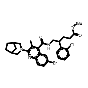 Cc1c(N2CC3CCC(C3)C2)nc2ccc(Br)cc2c1C(=O)NCC(CCC(=O)OC(C)(C)C)c1ccccc1Cl